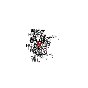 CC[C@H](C)[C@H](NC(=O)[C@H](CO)NC(=O)[C@H](CCC(N)=O)NC(=O)[C@@H](N)CCC(N)=O)C(=O)N[C@@H](C)C(=O)N[C@H](C(=O)N[C@@H](CCCCN)C(=O)N[C@@H](Cc1ccccc1)C(=O)N[C@@H](CC(C)C)C(=O)N[C@@H](C)C(=O)N[C@H](C(=O)N[C@@H](Cc1ccccc1)C(=O)NCC(=O)N[C@H](C(=O)N[C@@H](CO)C(=O)O)C(C)C)C(C)C)C(C)C